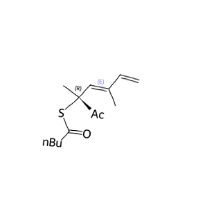 C=C/C(C)=C/[C@@](C)(SC(=O)CCCC)C(C)=O